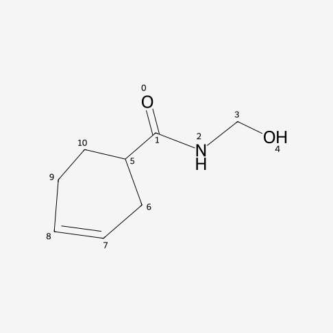 O=C(NCO)C1CC=CCC1